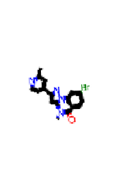 Cc1cc(-c2cc3n(C)c(=O)c4ccc(Br)cc4n3n2)ccn1